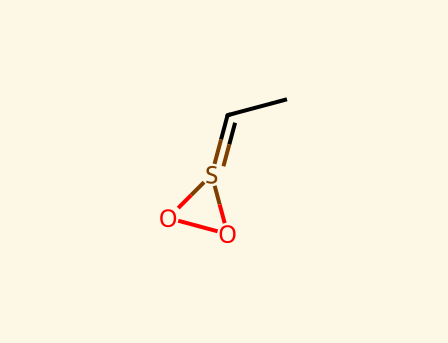 CC=S1OO1